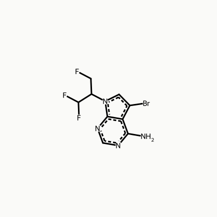 Nc1ncnc2c1c(Br)cn2C(CF)C(F)F